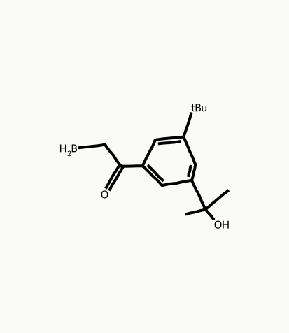 BCC(=O)c1cc(C(C)(C)C)cc(C(C)(C)O)c1